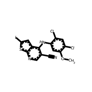 COc1cc(Nc2c(C#N)cnc3sc(I)cc23)c(Cl)cc1Cl